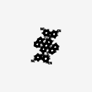 Cc1ccc2ccccc2c1-c1c2ccc(-n3c4ccc(C#N)cc4c4cc(C#N)ccc43)cc2c(-c2c(C)ccc3ccccc23)c2ccc(-n3c4ccc(C#N)cc4c4cc(C#N)ccc43)cc12